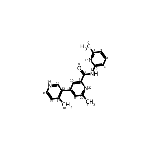 Cc1cccc(NC(=O)c2cc(-c3cnccc3C)cc(C)n2)n1